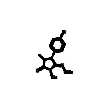 CON=C1[C@H](c2ccc(Br)cc2)[C@H](C)C(=O)N1C(C)(C)C